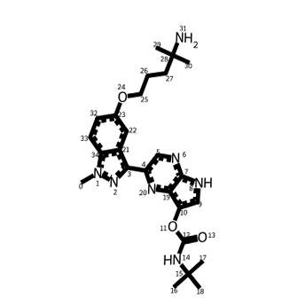 Cn1nc(-c2cnc3[nH]cc(OC(=O)NC(C)(C)C)c3n2)c2cc(OCCCC(C)(C)N)ccc21